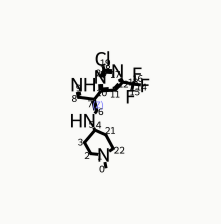 CN1CCC(N/C=C(\C=N)c2cc(C(F)(F)F)nc(Cl)n2)CC1